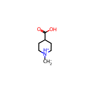 [CH2-][NH+]1CCC(C(=O)O)CC1